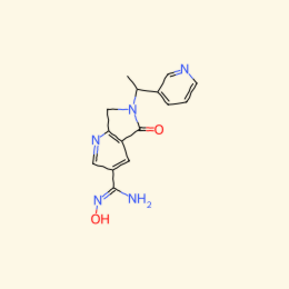 CC(c1cccnc1)N1Cc2ncc(/C(N)=N/O)cc2C1=O